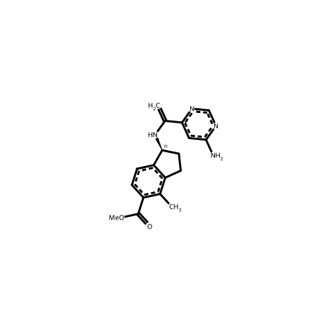 C=C(N[C@H]1CCc2c1ccc(C(=O)OC)c2C)c1cc(N)ncn1